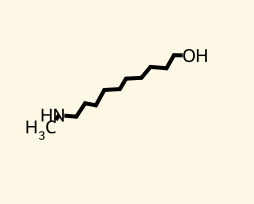 CNCCCCCCCCCCO